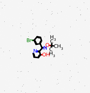 CC(C)(C)O/N=C(\c1cccc(Br)c1)c1ncccc1O